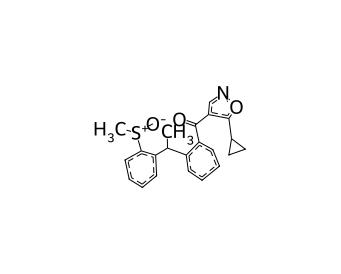 CC(c1ccccc1C(=O)c1cnoc1C1CC1)c1ccccc1[S+](C)[O-]